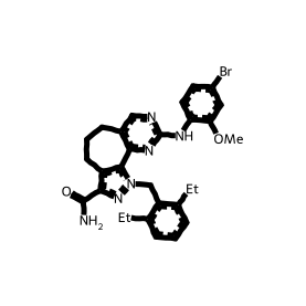 CCc1cccc(CC)c1Cn1nc(C(N)=O)c2c1-c1nc(Nc3ccc(Br)cc3OC)ncc1CCC2